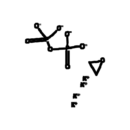 C1CO1.O=P([O-])([O-])OP(=O)([O-])[O-].[K+].[K+].[K+].[K+]